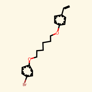 C=Cc1ccc(OCCCCCCOc2ccc(Br)cc2)cc1